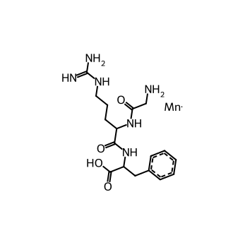 N=C(N)NCCCC(NC(=O)CN)C(=O)NC(Cc1ccccc1)C(=O)O.[Mn]